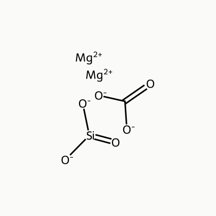 O=C([O-])[O-].O=[Si]([O-])[O-].[Mg+2].[Mg+2]